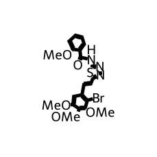 COc1ccccc1C(=O)Nc1nnc(C=Cc2cc(OC)c(OC)c(OC)c2Br)s1